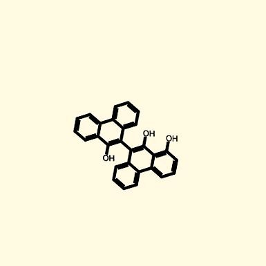 Oc1c(-c2c(O)c3c(O)cccc3c3ccccc23)c2ccccc2c2ccccc12